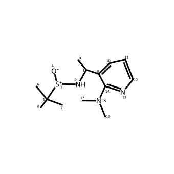 CC(N[S+]([O-])C(C)(C)C)c1cccnc1N(C)C